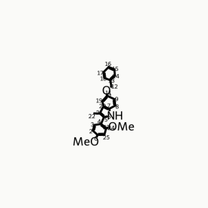 COc1ccc(-c2[nH]c3ccc(OCc4ccccc4)cc3c2C)c(OC)c1